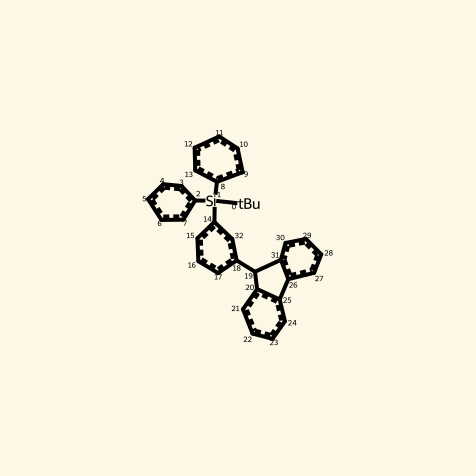 CC(C)(C)[Si](c1ccccc1)(c1ccccc1)c1cccc(C2c3ccccc3-c3ccccc32)c1